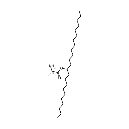 CCCCCCCCCCCCC(CCCCCCCCCC)OC(=O)[C@H](C)N